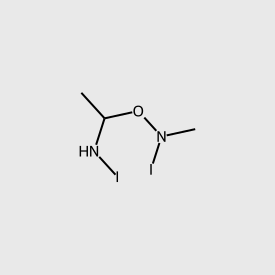 CC(NI)ON(C)I